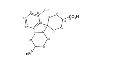 CCCC1CCC(C2(c3ccccc3F)CCC(C(=O)O)CC2)CC1